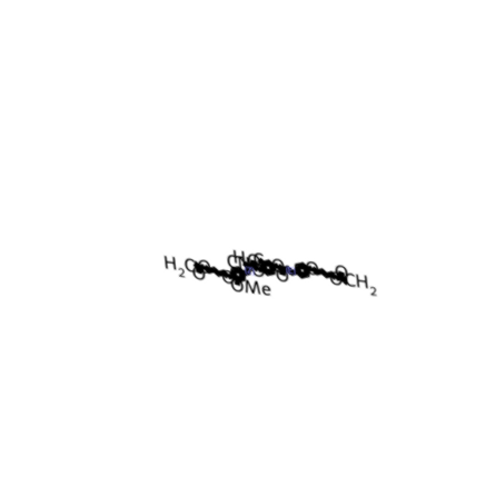 [C-]#[N+]/C(=C\c1ccc(OCCCCOC(=O)C=C)c(OC)c1)C(=O)Oc1ccc(OC(=O)/C=C/c2ccc(OCCCCOC(=O)C=C)cc2)cc1C